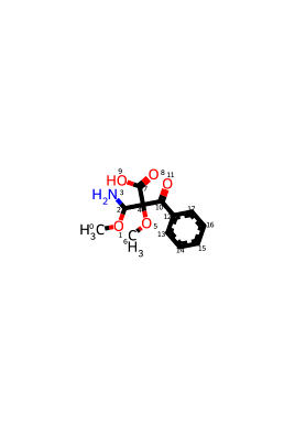 COC(N)C(OC)(C(=O)O)C(=O)c1ccccc1